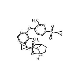 Cc1cc(S(=O)(=O)C2CC2)ccc1Oc1ncnc(OC2CC3CC[C@@H](C2)N3S(=O)(=O)C2CC2)c1C